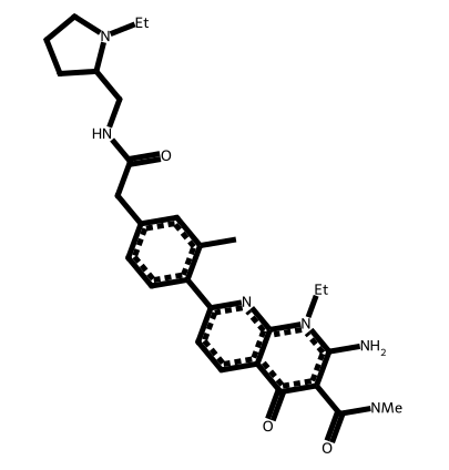 CCN1CCCC1CNC(=O)Cc1ccc(-c2ccc3c(=O)c(C(=O)NC)c(N)n(CC)c3n2)c(C)c1